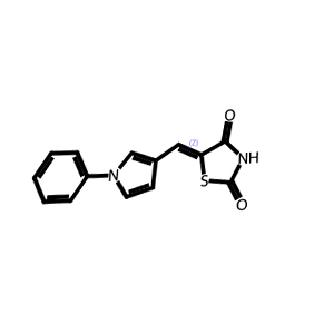 O=C1NC(=O)/C(=C/c2ccn(-c3ccccc3)c2)S1